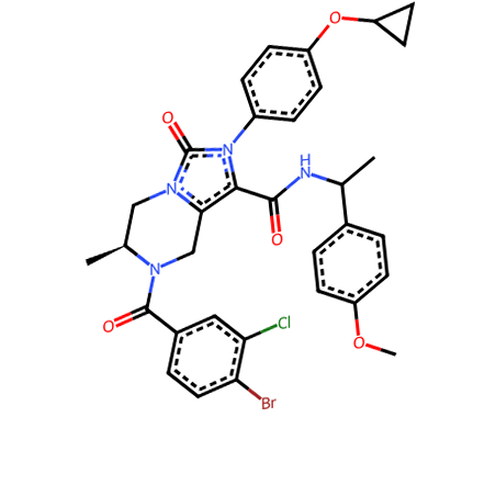 COc1ccc(C(C)NC(=O)c2c3n(c(=O)n2-c2ccc(OC4CC4)cc2)C[C@H](C)N(C(=O)c2ccc(Br)c(Cl)c2)C3)cc1